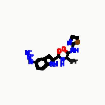 CC(C)C(NC(=O)c1cc2cc(N=[N+]=[N-])ccc2[nH]1)C(=O)Nc1nccs1